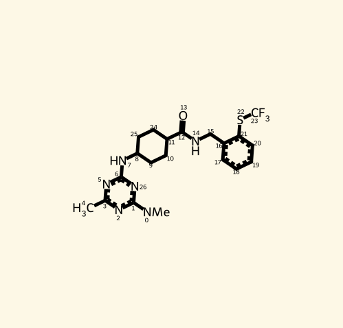 CNc1nc(C)nc(NC2CCC(C(=O)NCc3ccccc3SC(F)(F)F)CC2)n1